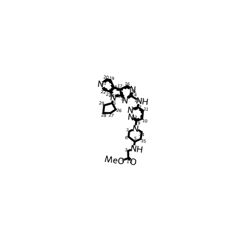 COC(=O)CNC1CCN(c2ccc(Nc3ncc4c5ccncc5n(C5CCCC5)c4n3)nn2)CC1